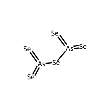 [Se]=[As](=[Se])[Se][As](=[Se])=[Se]